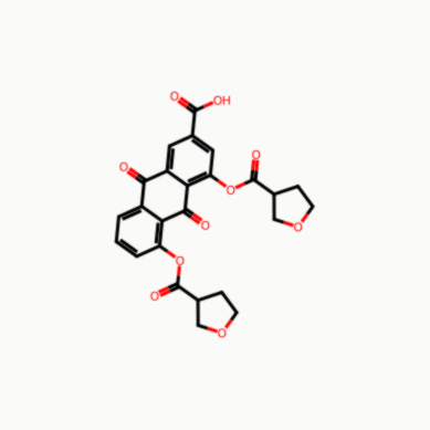 O=C(O)c1cc(OC(=O)C2CCOC2)c2c(c1)C(=O)c1cccc(OC(=O)C3CCOC3)c1C2=O